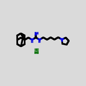 Cl.Cl.N=C(NCCCCCN1CCCC1)NCC12CC3CC(CC(C3)C1)C2